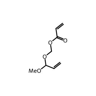 C=CC(=O)OCOC(C=C)OC